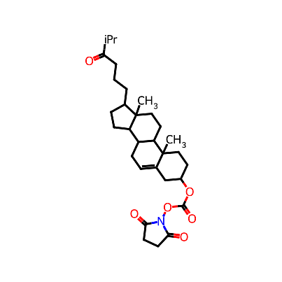 CC(C)C(=O)CCCC1CCC2C3CC=C4CC(OC(=O)ON5C(=O)CCC5=O)CCC4(C)C3CCC12C